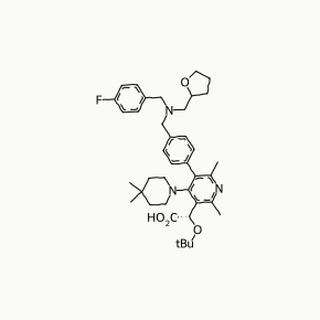 Cc1nc(C)c([C@H](OC(C)(C)C)C(=O)O)c(N2CCC(C)(C)CC2)c1-c1ccc(CN(Cc2ccc(F)cc2)CC2CCCO2)cc1